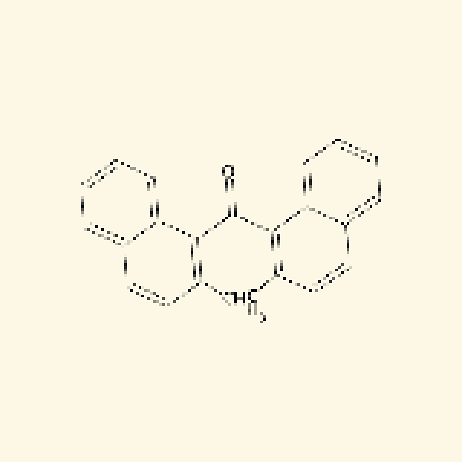 Cc1ccc2ccccc2c1C(=O)c1c(C)ccc2ccccc12